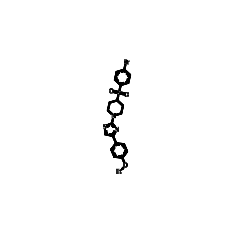 CCOc1ccc(-c2csc(N3CCC(S(=O)(=O)c4ccc(Br)cc4)CC3)n2)cc1